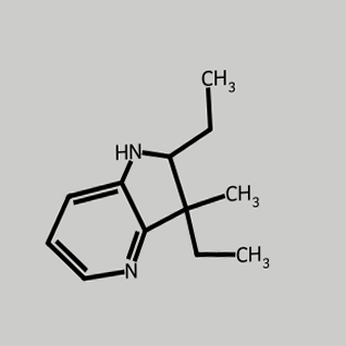 CCC1Nc2cccnc2C1(C)CC